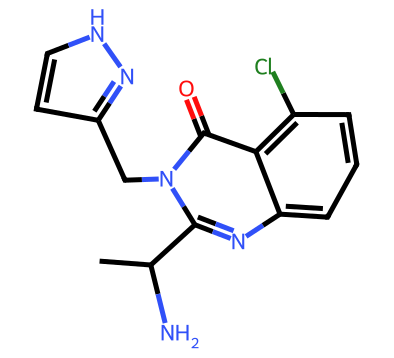 CC(N)c1nc2cccc(Cl)c2c(=O)n1Cc1cc[nH]n1